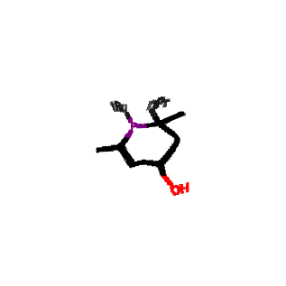 CCCC1(C)CC(O)CC(C)P1C(C)(C)C